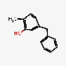 Cc1ccc(Cc2ccccc2)cc1O